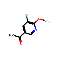 COc1ncc(C(C)=O)cc1Br